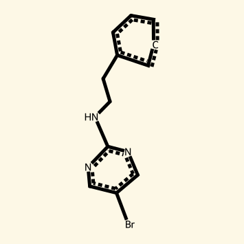 Brc1cnc(NCCc2ccccc2)nc1